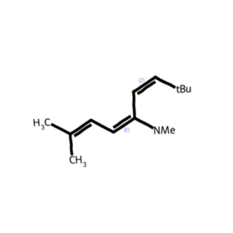 CNC(/C=C\C(C)(C)C)=C/C=C(C)C